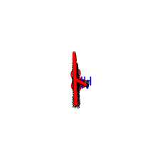 CCCCCCCCCCCCCCCCCC(=O)OCCCCC(CCCCOC(=O)CCCCCCCCCCCCCCCCC)OC(=O)NCCOCCN(C)C